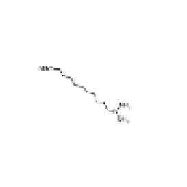 BN(N)CCCCCCCCCCCCCCCCCC